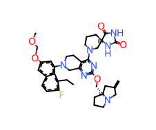 C=C1CN2CCC[C@@]2(COc2nc3c(c(N4CCC[C@]5(C4)NC(=O)NC5=O)n2)CCN(c2cc(OCOC)cc4ccc(F)c(CC)c24)C3)C1